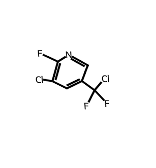 Fc1ncc(C(F)(F)Cl)cc1Cl